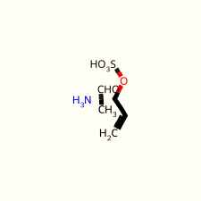 C=CCOS(=O)(=O)O.CC=O.N